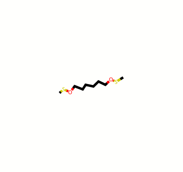 CSOCCCCCCOSC